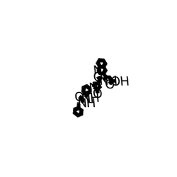 O=C(O)CC(NC(=O)C1CC(=O)N(c2cccc(NC(=O)NCc3ccccc3)c2)C1)c1cnc2ccccc2c1